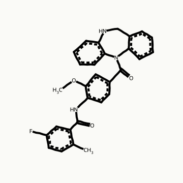 COc1cc(C(=O)N2c3ccccc3CNc3ccccc32)ccc1NC(=O)c1cc(F)ccc1C